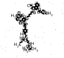 C=CCOC(=O)N[C@@H](CCCCNC(=O)OC(C)(C)C)CNc1ccc(COC(=O)Nc2cc(OCCCCCC(=O)N3C[C@@H](CCl)c4c3cc(OC(=O)N3CCN(C)CC3)c3ccccc43)c(OC)cc2C(=O)N2CCC[C@H]2COC(C)=O)cc1